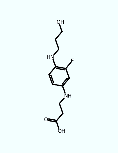 O=C(O)CCNc1ccc(NCCCO)c(F)c1